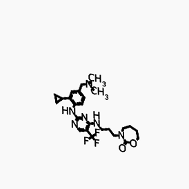 CN(C)Cc1ccc(Nc2ncc(C(F)(F)F)c(NCCCN3CCCCOC3=O)n2)c(C2CC2)c1